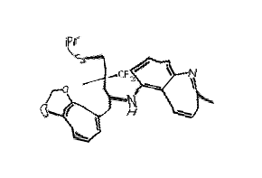 Cc1ccc2c(NC(c3cccc4c3OCO4)[C@](C)(CSC(C)C)C(F)(F)F)cccc2n1